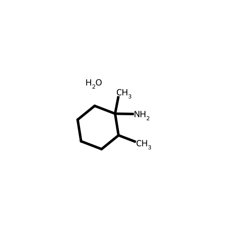 CC1CCCCC1(C)N.O